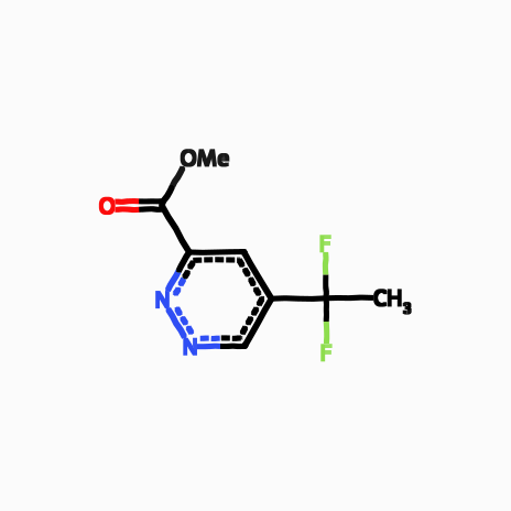 COC(=O)c1cc(C(C)(F)F)cnn1